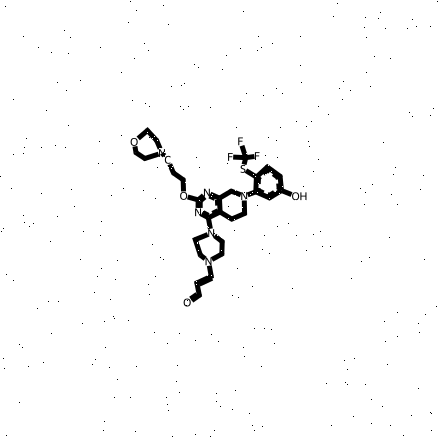 O=CC=CN1CCN(c2nc(OCCCN3CCOCC3)nc3c2CCN(c2cc(O)ccc2SC(F)(F)F)C3)CC1